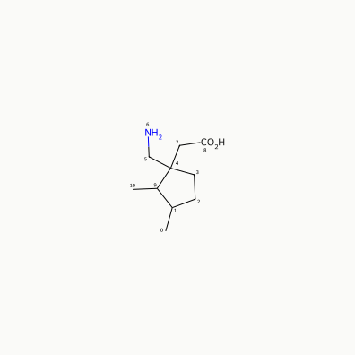 CC1CCC(CN)(CC(=O)O)C1C